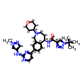 Cn1cc(Nc2nccc(-c3ccc4c(c3)CN(C3CCOCC3)CC[C@H]4NC(=O)c3cn(C(C)(C)C)nn3)n2)cn1